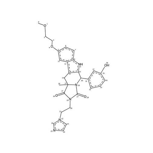 COCCOc1ccc2[nH]c3c(c2c1)CC1(C)C(=O)N(CCn2ccnc2)C(=O)N1C3c1cccc(O)c1